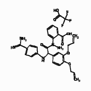 C=CCOc1ccc(C(Nc2ccc(C(=N)N)cc2)C(=O)N(N)c2ccccc2C(=O)O)cc1OCC=C.O=C(O)C(F)(F)F